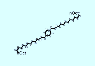 CCCCCCCC/C=C\CCCCCCCCOCCN1CCN(CCOCCCCCCCC/C=C\CCCCCCCC)CC1